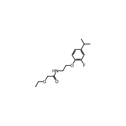 CCOCC(=O)NCCOc1ccc(C(C)C)cc1F